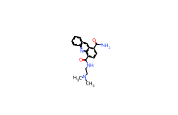 CN(C)CCNC(=O)c1ccc(C(N)=O)c2cc3ccccc3nc12